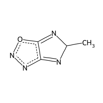 CC1N=c2nnoc2=N1